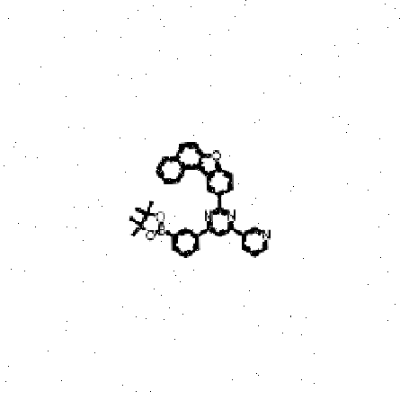 CC1(C)OB(c2cccc(-c3cc(-c4cccnc4)nc(-c4ccc5oc6ccc7ccccc7c6c5c4)n3)c2)OC1(C)C